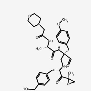 COc1ccc(C[C@](C=O)(CN[C@@H](Cc2ccc(CO)cc2)C(=O)[C@@]2(C)CO2)NC(=O)[C@H](C)NC(=O)CN2CCOCC2)cc1